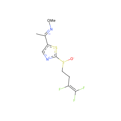 CO/N=C(\C)c1cnc([S+]([O-])CCC(F)=C(F)F)s1